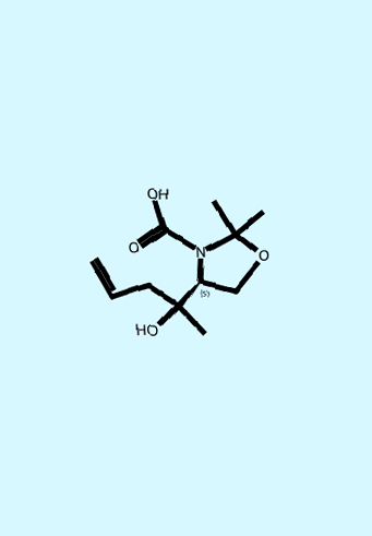 C=CCC(C)(O)[C@@H]1COC(C)(C)N1C(=O)O